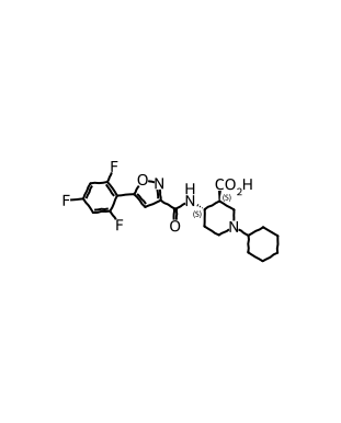 O=C(N[C@H]1CCN(C2CCCCC2)C[C@@H]1C(=O)O)c1cc(-c2c(F)cc(F)cc2F)on1